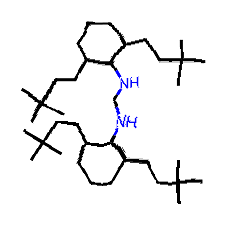 CC(C)(C)CCC1CCCC(CCC(C)(C)C)C1NCNC1C(CCC(C)(C)C)CCCC1CCC(C)(C)C